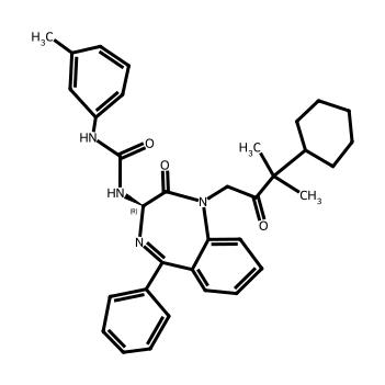 Cc1cccc(NC(=O)N[C@@H]2N=C(c3ccccc3)c3ccccc3N(CC(=O)C(C)(C)C3CCCCC3)C2=O)c1